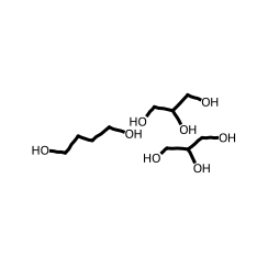 OCC(O)CO.OCC(O)CO.OCCCCO